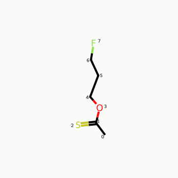 CC(=S)OCCCF